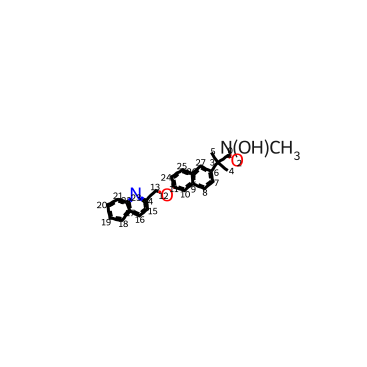 CN(O)C(=O)C(C)(C)c1ccc2cc(OCc3ccc4ccccc4n3)ccc2c1